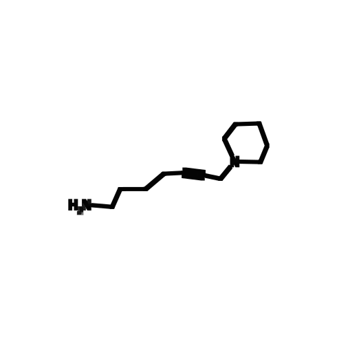 NCCCCC#CCN1CCCCC1